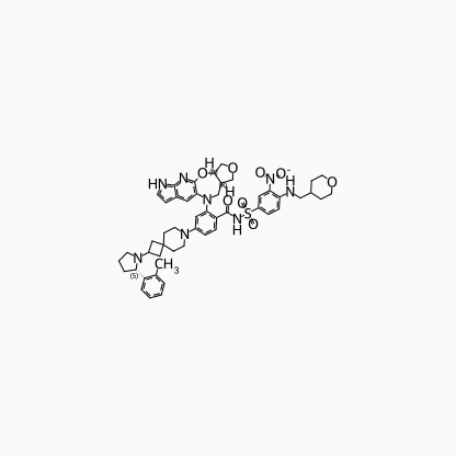 Cc1ccccc1[C@@H]1CCCN1C1CC2(CCN(c3ccc(C(=O)NS(=O)(=O)c4ccc(NCC5CCOCC5)c([N+](=O)[O-])c4)c(N4C[C@@H]5COC[C@@H]5Oc5nc6[nH]ccc6cc54)c3)CC2)C1